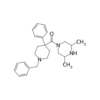 CC1CN(C(=O)C2(c3ccccc3)CCN(Cc3ccccc3)CC2)CC(C)N1